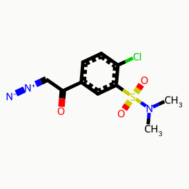 CN(C)S(=O)(=O)c1cc(C(=O)C=[N+]=[N-])ccc1Cl